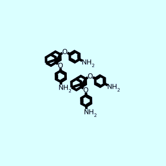 Nc1ccc(OC23CC4CC(C2)CC(Oc2ccc(N)cc2)(C4)C3)cc1.Nc1ccc(OC23CC4CC(C2)CC(Oc2ccc(N)cc2)(C4)C3)cc1